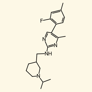 Cc1ccc(-c2cnc(NCC3CCCN(C(C)C)C3)nc2C)c(F)c1